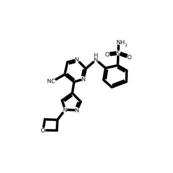 N#Cc1cnc(Nc2ccccc2S(N)(=O)=O)nc1-c1cnn(C2COC2)c1